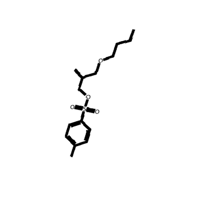 CCCCOCC(C)COS(=O)(=O)c1ccc(C)cc1